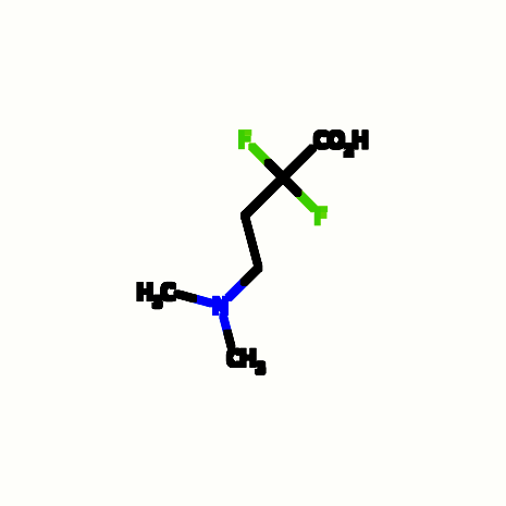 CN(C)CCC(F)(F)C(=O)O